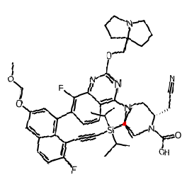 COCOc1cc(-c2ccc3c(N4CCN(C(=O)O)[C@@H](CC#N)C4)nc(OCC45CCCN4CCC5)nc3c2F)c2c(C#C[Si](C(C)C)(C(C)C)C(C)C)c(F)ccc2c1